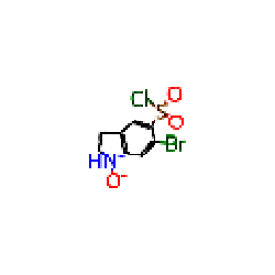 O=S(=O)(Cl)c1cc2c(cc1Br)[NH+]([O-])CC2